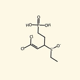 CC[S+]([O-])C(C=C(Cl)Cl)CCP(=O)(O)O